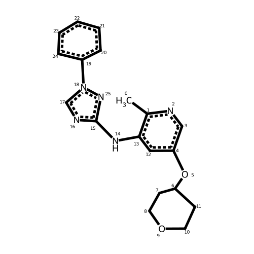 Cc1ncc(OC2CCOCC2)cc1Nc1ncn(-c2ccccc2)n1